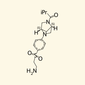 CC(C)C(=O)N1C[C@@H]2C[C@H]1CN2c1ccc(S(=O)(=O)CCN)cc1